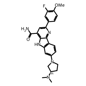 COc1ccc(-c2cc(C(N)=O)c3[nH]c4cc(N5CC[C@@H](N(C)C)C5)ccc4c3n2)cc1F